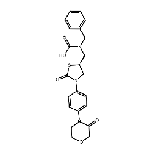 O=C(O)N(Cc1ccccc1)C[C@H]1CN(c2ccc(N3CCOCC3=O)cc2)C(=O)O1